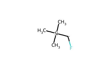 C[Si](C)(C)[CH]F